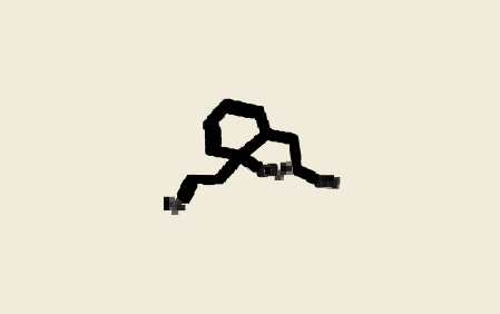 C=CCC1(C(=O)O)C=CC=CC1CCOC